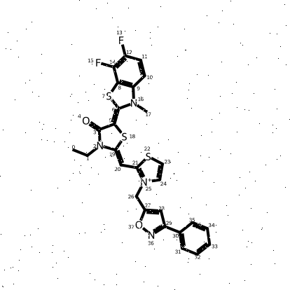 CCn1c(=O)/c(=C2\Sc3c(ccc(F)c3F)N2C)s/c1=C\c1scc[n+]1Cc1cc(-c2ccccc2)no1